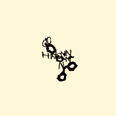 C=C1C(CC(=O)Nc2ccc3c(c2)OCO3)N=C(c2ccccc2)c2ccccc2N1/C(C)=N\N